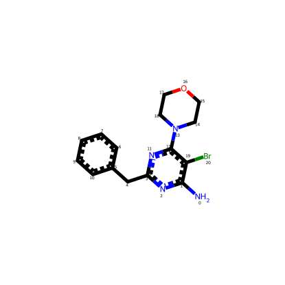 Nc1nc(Cc2ccccc2)nc(N2CCOCC2)c1Br